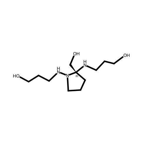 OCCCNN1CCC[C@@]1(CO)NCCCO